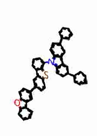 c1ccc(-c2ccc3c(c2)c2cc(-c4ccccc4)ccc2n3-c2cccc3c2sc2ccc(-c4ccc5oc6ccccc6c5c4)cc23)cc1